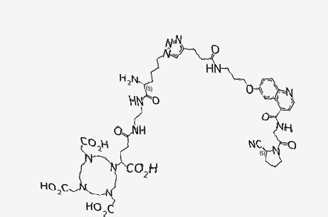 N#C[C@@H]1CCCN1C(=O)CNC(=O)c1ccnc2ccc(OCCCNC(=O)CCc3cn(CCCC[C@H](N)C(=O)NCCNC(=O)CCC(C(=O)O)N4CCN(CC(=O)O)CCN(CC(=O)O)CCN(CC(=O)O)CC4)nn3)cc12